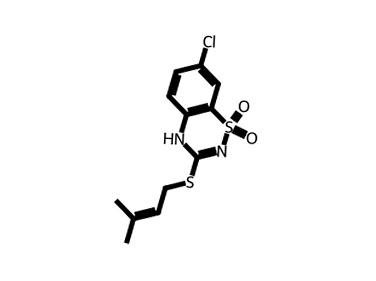 CC(C)=CCSC1=NS(=O)(=O)c2cc(Cl)ccc2N1